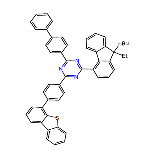 CCCCC1(CC)c2ccccc2-c2c(-c3nc(-c4ccc(-c5ccccc5)cc4)nc(-c4ccc(-c5cccc6c5sc5ccccc56)cc4)n3)cccc21